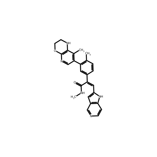 CNC(=O)/C(=C\c1cc2cnccc2[nH]1)c1ccc(C)c(-c2cnc3c(c2C)NCCO3)c1